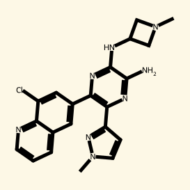 CN1CC(Nc2nc(-c3cc(Cl)c4ncccc4c3)c(-c3ccn(C)n3)nc2N)C1